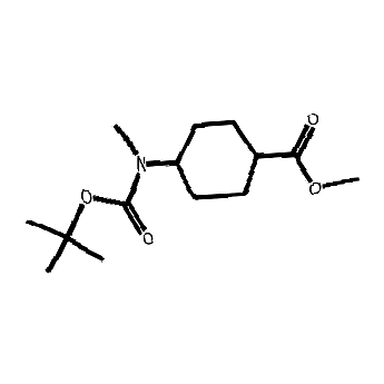 COC(=O)C1CCC(N(C)C(=O)OC(C)(C)C)CC1